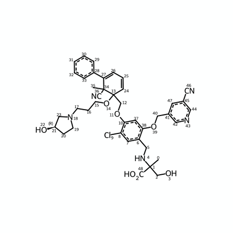 CC(CO)(NCc1cc(Cl)c(OCC2(OCCCN3CC[C@@H](O)C3)C=CC=C(c3ccccc3)C2(C)C#N)cc1OCc1cncc(C#N)c1)C(=O)O